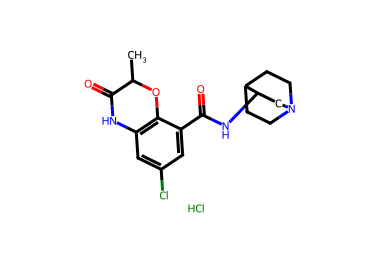 CC1Oc2c(cc(Cl)cc2C(=O)NC2CN3CCC2CC3)NC1=O.Cl